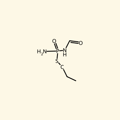 CCCSP(N)(=O)NC=O